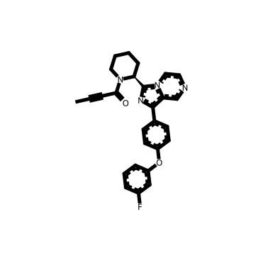 CC#CC(=O)N1CCCC[C@H]1c1nc(-c2ccc(Oc3cccc(F)c3)cc2)c2cnccn12